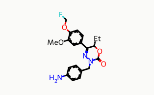 CCC1OC(=O)N(Cc2ccc(N)cc2)N=C1c1ccc(OCF)c(OC)c1